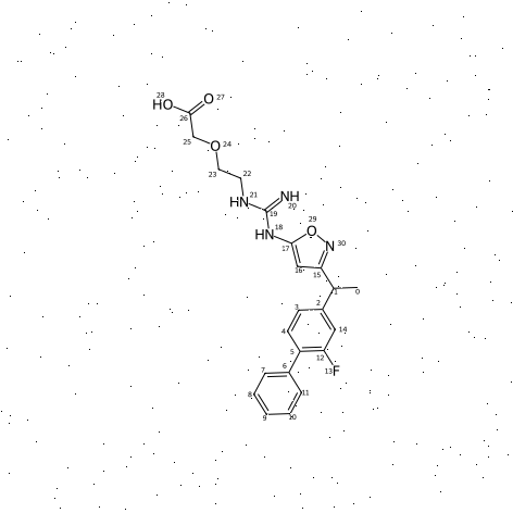 CC(c1ccc(-c2ccccc2)c(F)c1)c1cc(NC(=N)NCCOCC(=O)O)on1